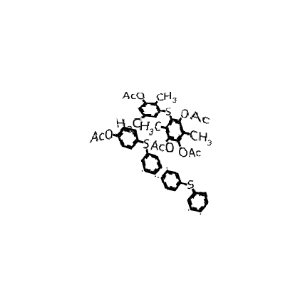 CC(=O)Oc1[c]cc(Sc2c[c][c]cc2)cc1.CC(=O)Oc1cc(C)cc(Sc2c(C)c(OC(C)=O)c(OC(C)=O)c(C)c2OC(C)=O)c1C.[c]1[c]cc(Sc2c[c][c]cc2)cc1